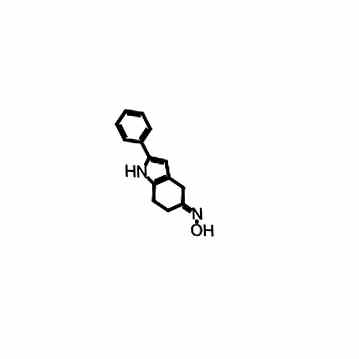 O/N=C1\CCc2[nH]c(-c3ccccc3)cc2C1